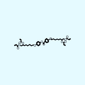 C=CC(=O)OCC(CCCCCCOc1ccc(OC(=O)c2ccc(OCCCCCCC(COC(=O)C=C)OC(=O)C=C)cc2)cc1)OC(=O)C=C